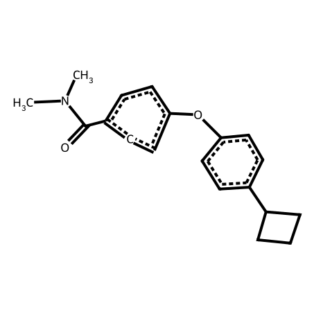 CN(C)C(=O)c1ccc(Oc2ccc(C3CCC3)cc2)cc1